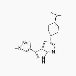 Cn1cc(-c2c[nH]c3ncc([C@H]4CC[C@H](N(C)C)CC4)cc23)cn1